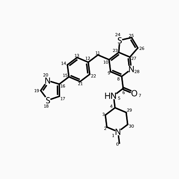 CN1CCC(NC(=O)c2cc(Cc3ccc(-c4cscn4)cc3)c3sccc3n2)CC1